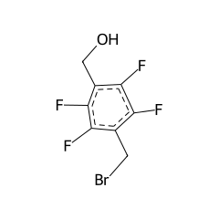 OCc1c(F)c(F)c(CBr)c(F)c1F